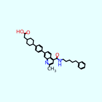 Cc1cc(C(=O)NCCCCCc2ccccc2)c2ccc(-c3ccc(C4CCC(CC(=O)O)CC4)cc3)cc2n1